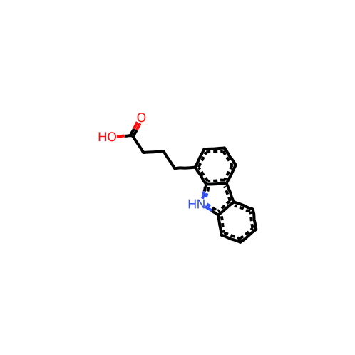 O=C(O)CCCc1cccc2c1[nH]c1ccccc12